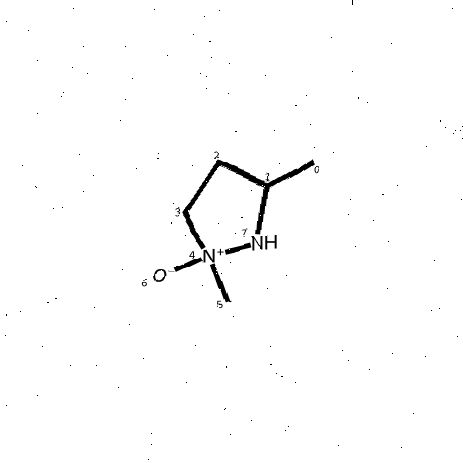 CC1CC[N+](C)([O-])N1